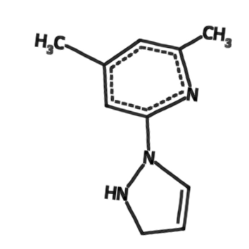 Cc1cc(C)nc(N2C=CCN2)c1